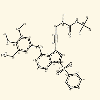 COc1cc(Nc2ncnc3c2c(C#CCN(C)C(=O)OC(C)(C)C)cn3S(=O)(=O)c2ccccc2)cc(CO)c1OC